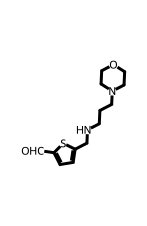 O=Cc1ccc(CNCCCN2CCOCC2)s1